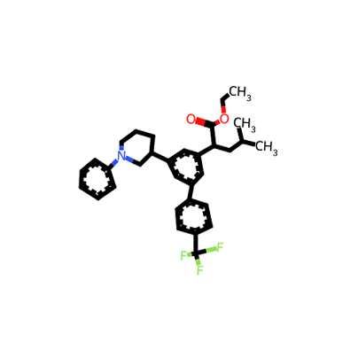 CCOC(=O)C(CC(C)C)c1cc(-c2ccc(C(F)(F)F)cc2)cc(C2CCCN(c3ccccc3)C2)c1